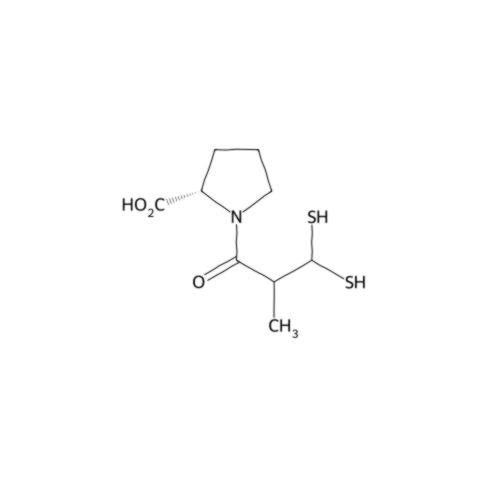 CC(C(=O)N1CCC[C@H]1C(=O)O)C(S)S